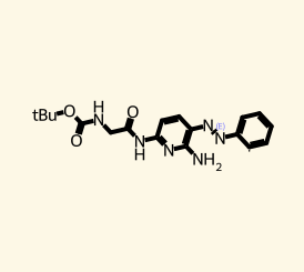 CC(C)(C)OC(=O)NCC(=O)Nc1ccc(/N=N/c2[c]cccc2)c(N)n1